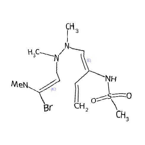 C=C/C(=C\N(C)N(C)/C=C(/Br)NC)NS(C)(=O)=O